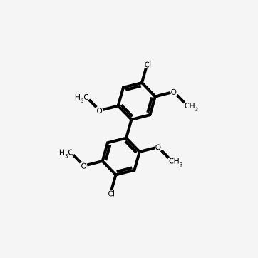 COc1cc(-c2cc(OC)c(Cl)cc2OC)c(OC)cc1Cl